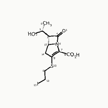 C[C@@H](O)[C@@H]1C(=O)N2C(C(=O)O)=C(SCCI)CC12